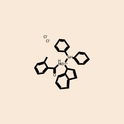 Cc1ccccc1C(=O)[NH][Zr+2]([CH]1C=Cc2ccccc21)[SiH](c1ccccc1)c1ccccc1.[Cl-].[Cl-]